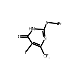 CC(C)Sc1nc(C(F)(F)F)c(I)c(=O)[nH]1